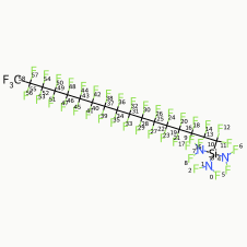 FN(F)[Si](N(F)F)(N(F)F)C(F)(F)C(F)(F)C(F)(F)C(F)(F)C(F)(F)C(F)(F)C(F)(F)C(F)(F)C(F)(F)C(F)(F)C(F)(F)C(F)(F)C(F)(F)C(F)(F)C(F)(F)C(F)(F)C(F)(F)F